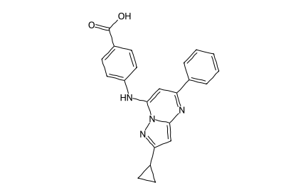 O=C(O)c1ccc(Nc2cc(-c3ccccc3)nc3cc(C4CC4)nn23)cc1